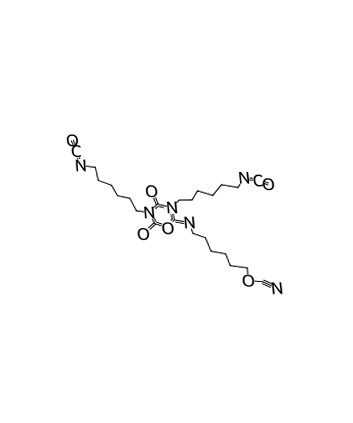 N#COCCCCCC/N=c1\oc(=O)n(CCCCCCN=C=O)c(=O)n1CCCCCCN=C=O